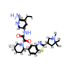 CCc1cc(NC(=O)C(=O)N2C[C@@H](C)CC[C@@H]2c2ccc3sc([C@H]4CN(C)C(C)(C)C4)nc3c2)cnc1N